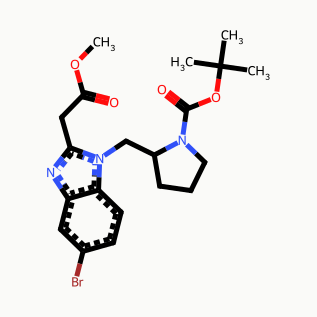 COC(=O)Cc1nc2cc(Br)ccc2n1CC1CCCN1C(=O)OC(C)(C)C